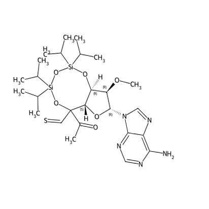 CO[C@@H]1[C@@H]2O[Si](C(C)C)(C(C)C)O[Si](C(C)C)(C(C)C)OC(C=S)(C(C)=O)[C@H]2O[C@H]1n1cnc2c(N)ncnc21